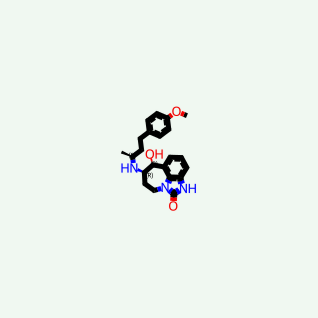 COc1ccc(CC[C@H](C)N[C@@H]2CCn3c(=O)[nH]c4cccc(c43)[C@H]2O)cc1